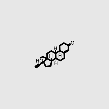 C#CC1(O)CC[C@H]2[C@@H]3CCC4=CC(=O)CC[C@@H]4[C@H]3CCC21CC